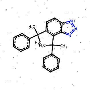 CC(C)(c1ccccc1)c1ccc2[nH]nnc2c1C(C)(C)c1ccccc1